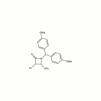 COc1ccc(C(c2ccc(OC)cc2)N2C(=O)C(C(C)=O)C2OC(C)=O)cc1